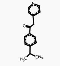 CC(C)c1ccc(C(=O)Cc2ccncc2)cc1